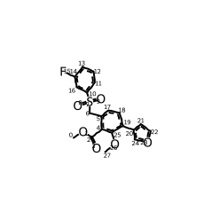 COC(=O)c1c(CS(=O)(=O)c2cccc(F)c2)ccc(-c2ccoc2)c1OC